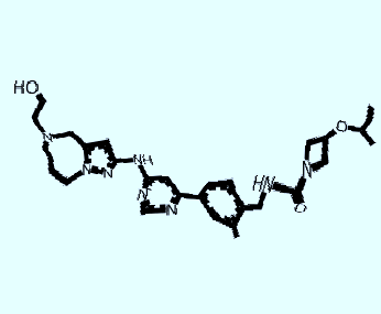 Cc1cc(-c2cc(Nc3cc4n(n3)CCCN(CCO)C4)ncn2)ccc1CNC(=O)N1CC(OC(C)C)C1